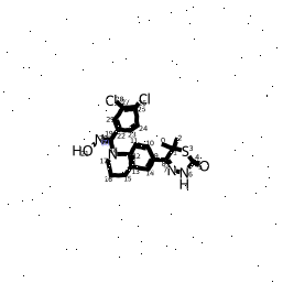 CC1(C)SC(=O)NN=C1c1ccc2c(c1)CCCN2/C(=N\O)c1ccc(Cl)c(Cl)c1